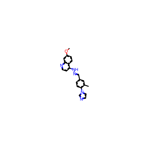 COc1ccc2c(NN=Cc3ccc(-n4ccnc4)c(C)c3)ccnc2c1